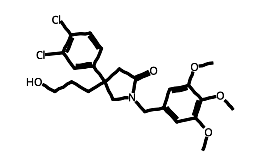 COc1cc(CN2CC(CCCO)(c3ccc(Cl)c(Cl)c3)CC2=O)cc(OC)c1OC